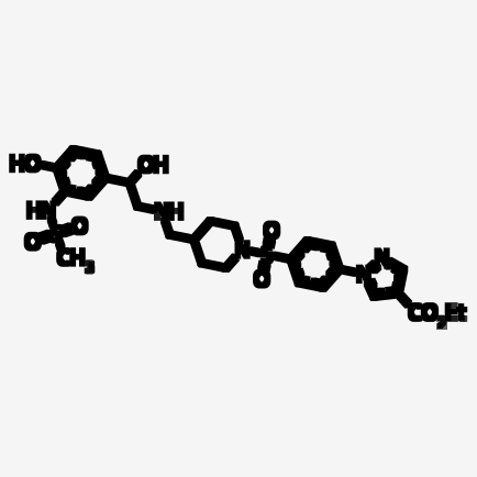 CCOC(=O)c1cnn(-c2ccc(S(=O)(=O)N3CCC(CNCC(O)c4ccc(O)c(NS(C)(=O)=O)c4)CC3)cc2)c1